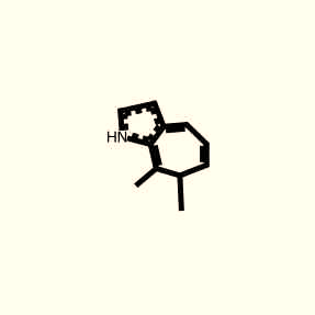 CC1=c2[nH]ccc2=CC=CC1C